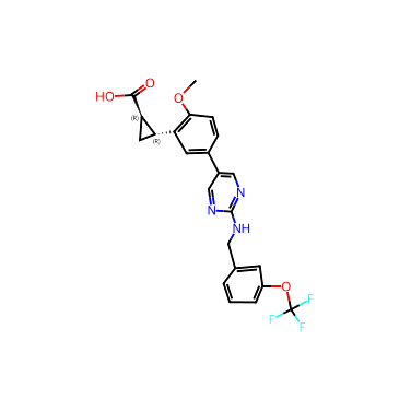 COc1ccc(-c2cnc(NCc3cccc(OC(F)(F)F)c3)nc2)cc1[C@@H]1C[C@H]1C(=O)O